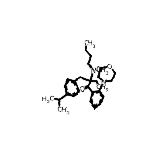 CCCCN(C)C(CC)(Cc1ccc(C(C)C)cc1)C(=O)c1ccccc1N1CCOCC1